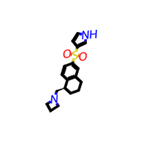 O=S(=O)(c1cc[nH]c1)c1ccc2c(c1)CCC[C@H]2CN1CCC1